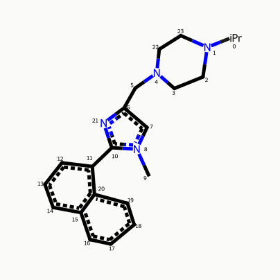 CC(C)N1CCN(Cc2cn(C)c(-c3cccc4ccccc34)n2)CC1